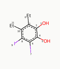 CCc1c(O)c(O)c(I)c(I)c1CC